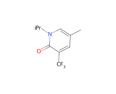 Cc1cc(C(F)(F)F)c(=O)n(C(C)C)c1